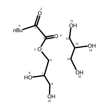 CCCCC(=O)C(=O)OCC(O)CO.OCC(O)CO